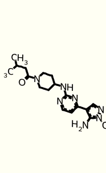 CC(C)CC(=O)N1CCC(Nc2nccc(-c3cnn(C)c3N)n2)CC1